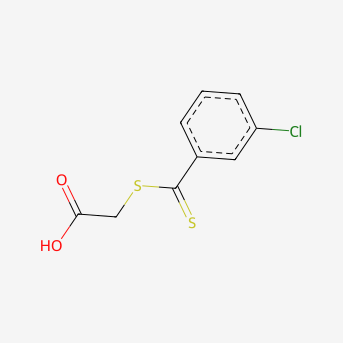 O=C(O)CSC(=S)c1cccc(Cl)c1